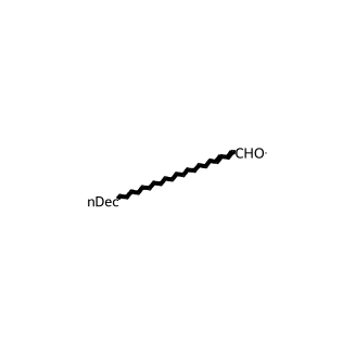 CCCCCCCCCCCCCCCCCCCCCCCCCCCC=CC=C[C]=O